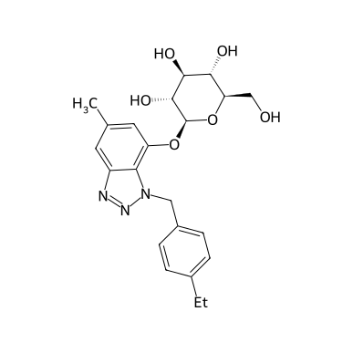 CCc1ccc(Cn2nnc3cc(C)cc(O[C@@H]4O[C@H](CO)[C@@H](O)[C@H](O)[C@H]4O)c32)cc1